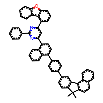 CC1(C)c2ccc(-c3ccc(-c4ccc(-c5cc(-c6cccc7oc8ccccc8c67)nc(-c6ccccc6)n5)c5ccccc45)cc3)cc2-c2c1ccc1ccccc21